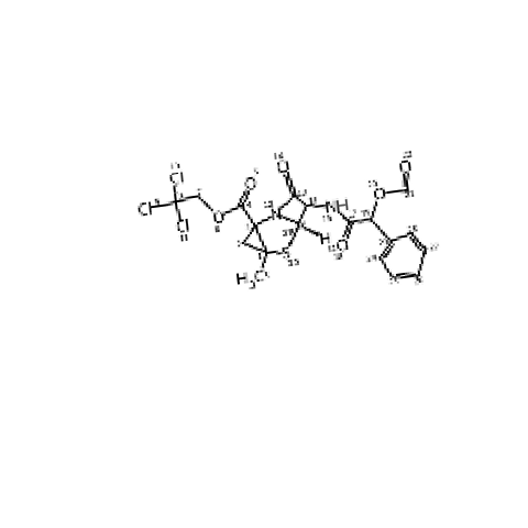 CC12CC1(C(=O)OCC(Cl)(Cl)Cl)N1C(=O)C(NC(=O)C(OC=O)c3ccccc3)[C@@H]1S2